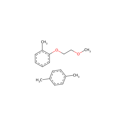 COCCOc1ccccc1C.Cc1ccc(C)cc1